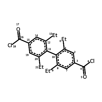 CCc1cc(C(=O)Cl)cc(CC)c1-c1c(CC)cc(C(=O)Cl)cc1CC